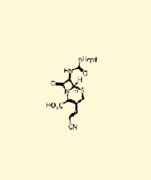 CCCCCCCC(=O)NC1C(=O)N2C(C(=O)O)=C(C=CC#N)CS[C@@H]12